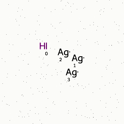 I.[Ag].[Ag].[Ag]